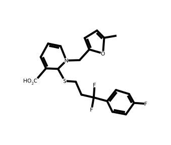 Cc1ccc(CN2C=CC=C(C(=O)O)C2SCCC(F)(F)c2ccc(F)cc2)o1